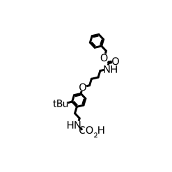 CC(C)(C)c1cc(OCCCCNC(=O)OCc2ccccc2)ccc1CCNC(=O)O